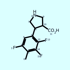 Cc1c(F)cc(C2CNCC2C(=O)O)c(F)c1F